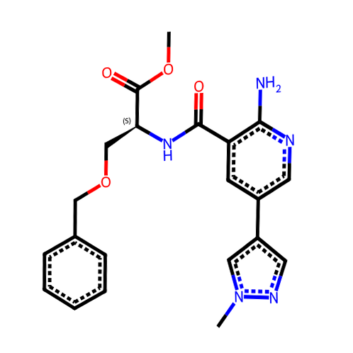 COC(=O)[C@H](COCc1ccccc1)NC(=O)c1cc(-c2cnn(C)c2)cnc1N